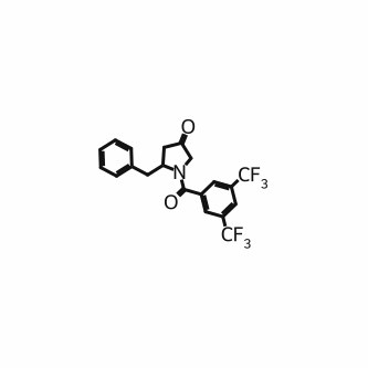 O=C1CC(Cc2ccccc2)N(C(=O)c2cc(C(F)(F)F)cc(C(F)(F)F)c2)C1